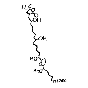 CCCCCCCCCCCCCC[C@@H](OC(C)=O)[C@H]1CC[C@H]([C@H](O)CCCCC(O)CCCCC[C@@H](O)CC2=C[C@H](C)OC2=O)O1